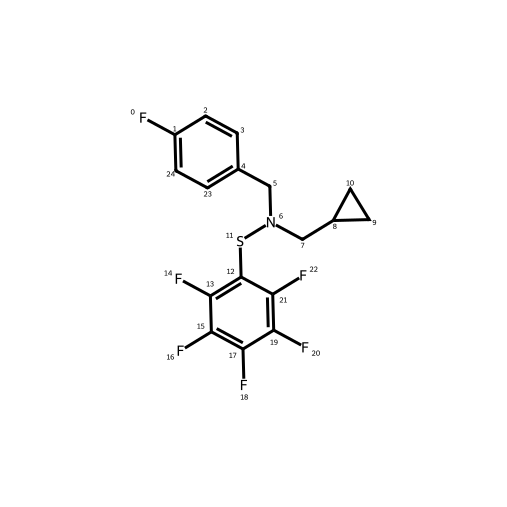 Fc1ccc(CN(CC2CC2)Sc2c(F)c(F)c(F)c(F)c2F)cc1